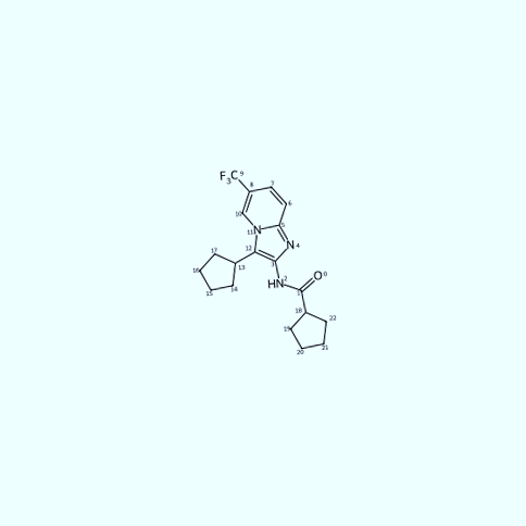 O=C(Nc1nc2ccc(C(F)(F)F)cn2c1C1CCCC1)C1CCCC1